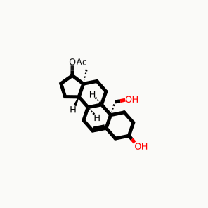 CC(=O)OC1CC[C@H]2[C@@H]3CC=C4CC(O)CC[C@]4(CO)[C@@H]3CC[C@]12C